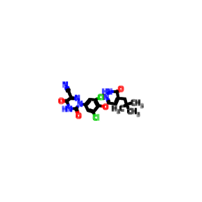 CC(C)(C)Cc1cc(Oc2c(Cl)cc(-n3nc(C#N)c(=O)[nH]c3=O)cc2Cl)n[nH]c1=O